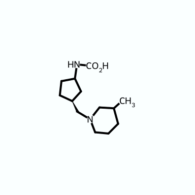 CC1CCCN(C[C@H]2CCC(NC(=O)O)C2)C1